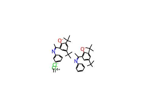 CC(=Nc1ccccc1)c1cc(C(C)(C)C)cc(C(C)(C)C)c1[O-].CC(=Nc1ccccc1)c1cc(C(C)(C)C)cc(C(C)(C)C)c1[O-].[Cl-].[Cl-].[Ti+4]